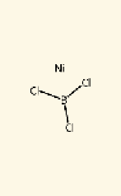 ClB(Cl)Cl.[Ni]